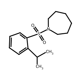 CC(C)c1ccccc1S(=O)(=O)N1CCCCCC1